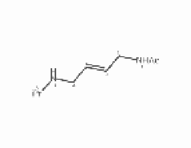 CC(=O)NC/C=C/CNC(C)C